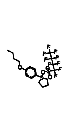 CCCCOc1ccc(S2(OS(=O)(=O)C(F)(F)C(F)(F)C(F)(F)C(F)(F)F)CCCC2)cc1